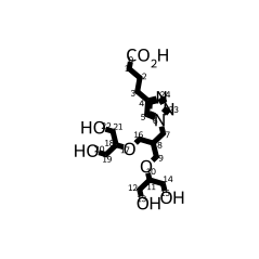 O=C(O)CCCc1cn(CC(COC(CO)CO)COC(CO)CO)nn1